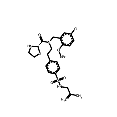 C=C(C)CNS(=O)(=O)c1ccc(CCN(Cc2cc(Cl)ccc2OCCC)C(=O)[C@H]2NCCS2)cc1